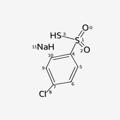 O=S(=O)(S)c1ccc(Cl)cc1.[NaH]